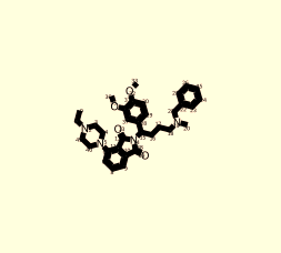 CCN1CCN(c2cccc3c2C(=O)N(C(CCCN(C)Cc2ccccc2)c2ccc(OC)c(OC)c2)C3=O)CC1